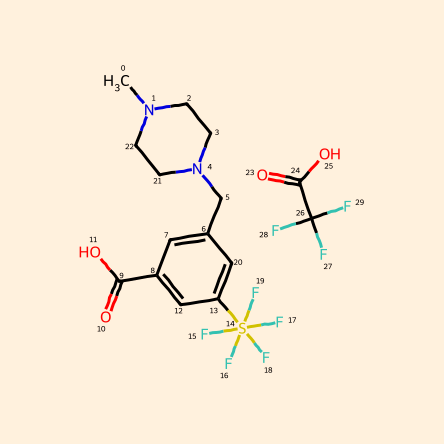 CN1CCN(Cc2cc(C(=O)O)cc(S(F)(F)(F)(F)F)c2)CC1.O=C(O)C(F)(F)F